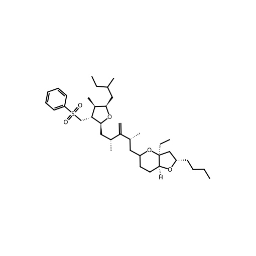 C=C([C@H](C)CC1CC[C@@H]2O[C@@H](CCCC)C[C@]2(CC)O1)[C@H](C)C[C@@H]1O[C@H](CC(C)CC)[C@H](C)[C@H]1CS(=O)(=O)c1ccccc1